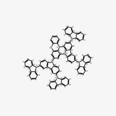 c1ccc2c(c1)Sc1cc(-n3c4ccc(-n5c6ccccc6c6ccccc65)cc4c4cc(-n5c6ccccc6c6ccccc65)ccc43)cc3c1B2c1cc(-n2c4ccccc4c4ccccc42)cc2c4cc(-n5c6ccccc6c6ccccc65)ccc4n-3c12